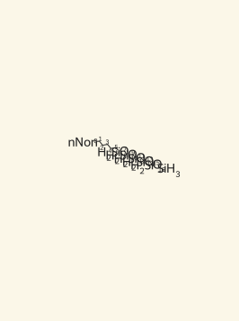 CCCCCCCCCCCCCC[SiH2]O[SiH2]O[SiH2]O[SiH2]O[SiH2]O[SiH3]